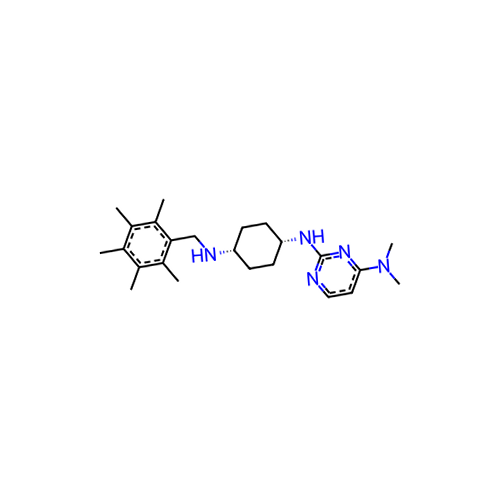 Cc1c(C)c(C)c(CN[C@H]2CC[C@@H](Nc3nccc(N(C)C)n3)CC2)c(C)c1C